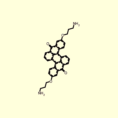 NCCCOc1ccc2c(c1)c(=O)c1cccc3c1c2c1cccc2c(=O)c4cc(OCCCN)ccc4c3c21